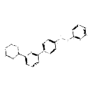 [c]1ccc(C2CCCCC2)cc1-c1ccc(OCc2ccccc2)cc1